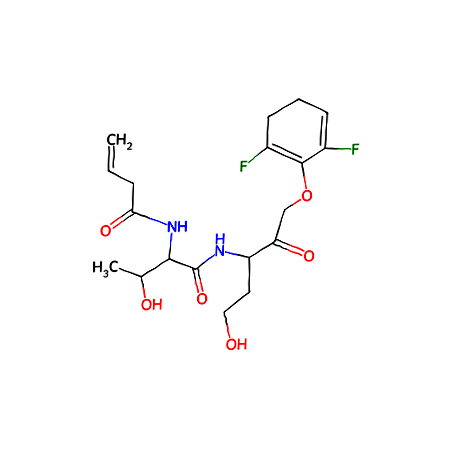 C=CCC(=O)NC(C(=O)NC(CCO)C(=O)COC1=C(F)CCC=C1F)C(C)O